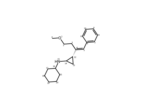 COCC/C(=C\c1ccccc1)[C@@H]1CC1NC1CCCCC1